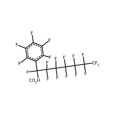 O=C(O)C(F)(c1c(F)c(F)c(F)c(F)c1F)C(F)(F)C(F)(F)C(F)(F)C(F)(F)C(F)(F)C(F)(F)F